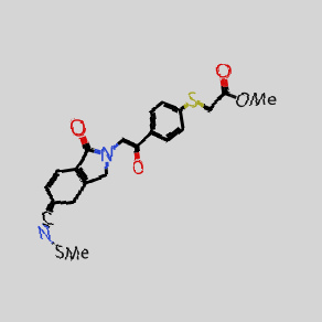 COC(=O)CSc1ccc(C(=O)CN2CC3=C(C=CC(=C=NSC)C3)C2=O)cc1